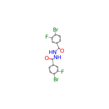 O=C(NNC(=O)c1ccc(Br)c(F)c1)c1ccc(Br)c(F)c1